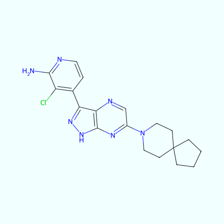 Nc1nccc(-c2n[nH]c3nc(N4CCC5(CCCC5)CC4)cnc23)c1Cl